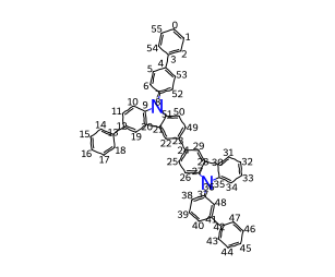 c1ccc(-c2ccc(-n3c4ccc(-c5ccccc5)cc4c4cc(-c5ccc6c(c5)c5ccccc5n6-c5cccc(-c6ccccc6)c5)ccc43)cc2)cc1